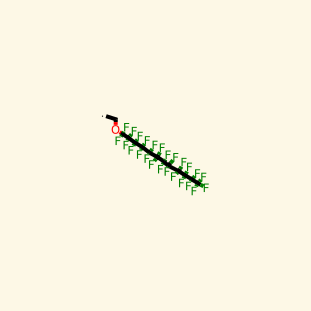 [CH2]COC(F)(F)C(F)(F)C(F)(F)C(F)(F)C(F)(F)C(F)(F)C(F)(F)C(F)(F)C(F)(F)C(F)(F)C(F)(F)C(F)(F)F